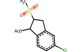 CC(=O)OC1c2ccc(Cl)cc2CC1S(C)(=O)=O